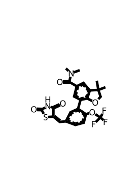 CN(C)C(=O)c1cc(-c2cc(C=C3SC(=O)NC3=O)ccc2OC(F)(F)F)c2c(c1)C(C)(C)CO2